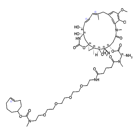 COc1cc2cc(c1Cl)N(C)C(=O)C[C@H](OC(=O)[C@H](N)N(C)C(=O)CCCC(=O)NCCOCCOCCOCCOCCN(C)C(=O)OC1CC/C=C/CCC1)[C@]1(N)O[C@H]1[C@@]1(C)C[C@]13C[C@@](O)(NC(=O)O3)[C@H](O)/C=C/C=C(\C)C2